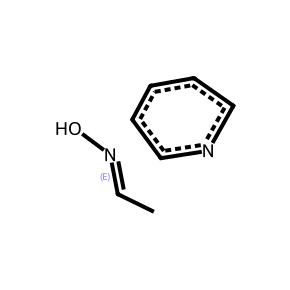 C/C=N/O.c1ccncc1